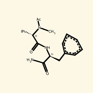 CC(=O)N(C)[C@H](C(=O)N[C@@H](Cc1ccccc1)C(N)=O)C(C)C